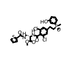 COC(=O)[C@H](CNC(=O)c1cccs1)NC(=O)c1c(Cl)cc(CCP(C)(=O)c2cccc(O)c2)cc1Cl